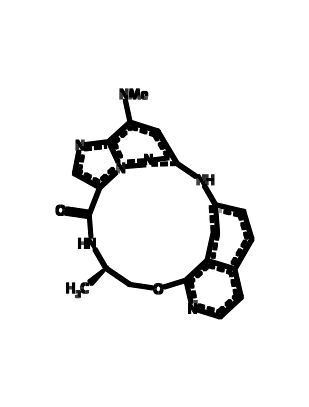 CNc1cc2nn3c(cnc13)C(=O)N[C@H](C)COc1nccc3ccc(cc13)N2